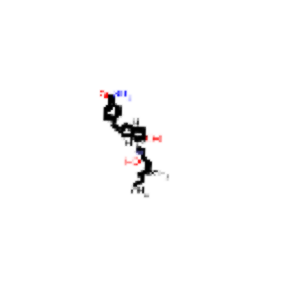 CCCC[C@H](C)C[C@H](O)/C=C/[C@@H]1[C@H]2CC(Cc3ccc(C(N)=O)cc3)=C[C@H]2C[C@H]1O